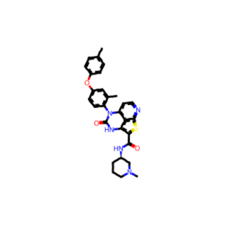 Cc1ccc(Oc2ccc(N3C(=O)Nc4c(C(=O)N[C@@H]5CCCN(C)C5)sc5nccc3c45)c(C)c2)cc1